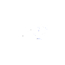 OC[C@H]1OC(n2cnc3c(S)ncnc32)[C@H](O)[C@@H]1O